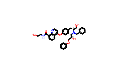 O=C(NCCO)c1cccc2c(Oc3ccc(C[C@@H](CO)N(Cc4ccccc4)C[C@H](O)COc4ccccc4)cc3)ccnc12